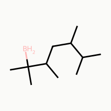 BC(C)(C)C(C)CC(C)C(C)C